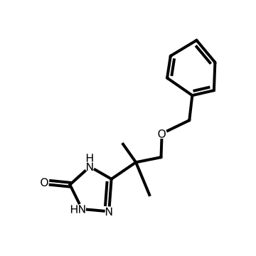 CC(C)(COCc1ccccc1)c1n[nH]c(=O)[nH]1